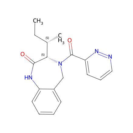 CC[C@H](C)[C@H]1C(=O)Nc2ccccc2CN1C(=O)c1cccnn1